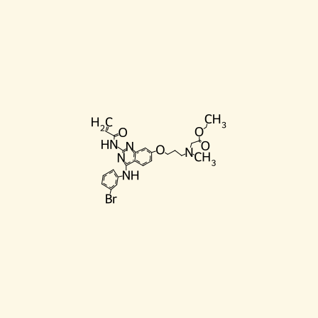 C=CC(=O)Nc1nc(Nc2cccc(Br)c2)c2ccc(OCCCN(C)CC(=O)OCC)cc2n1